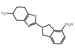 CCOC(=O)c1cccc2c1CN(c1nc3c(o1)CCC(C(F)(F)F)C3)C2